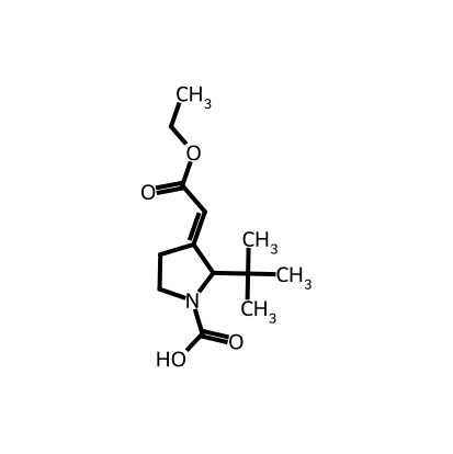 CCOC(=O)C=C1CCN(C(=O)O)C1C(C)(C)C